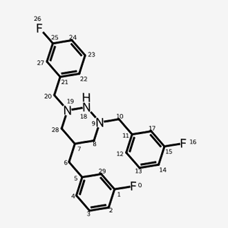 Fc1cccc(CC2CN(Cc3cccc(F)c3)NN(Cc3cccc(F)c3)C2)c1